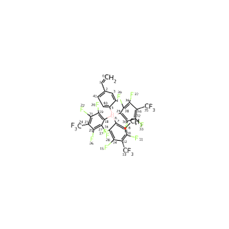 C=Cc1ccc([B-](c2c(C)c(F)c(C(F)(F)F)c(F)c2F)(c2c(F)c(F)c(C(F)(F)F)c(F)c2F)c2c(F)c(F)c(C(F)(F)F)c(F)c2F)cc1